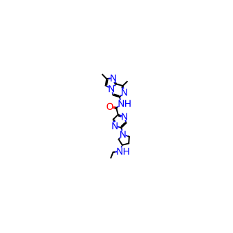 CCN[C@@H]1CCN(c2cnc(C(=O)Nc3cn4cc(C)nc4c(C)n3)cn2)C1